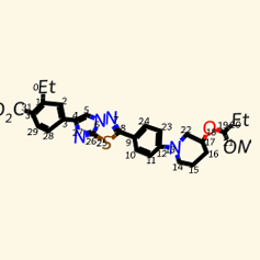 CCc1cc(-c2cn3nc(-c4ccc(N5CCCC(OC(CC)OC)C5)cc4)sc3n2)ccc1C(=O)O